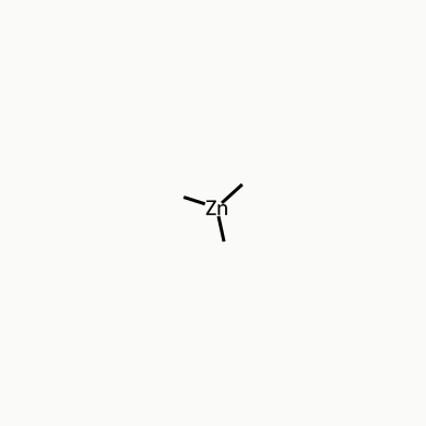 [CH3][Zn]([CH3])[CH3]